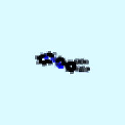 COc1ccc(-c2ccc(N3CCN4CCCCC4C3)nn2)cc1OC